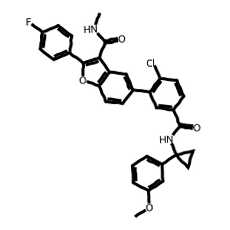 CNC(=O)c1c(-c2ccc(F)cc2)oc2ccc(-c3cc(C(=O)NC4(c5cccc(OC)c5)CC4)ccc3Cl)cc12